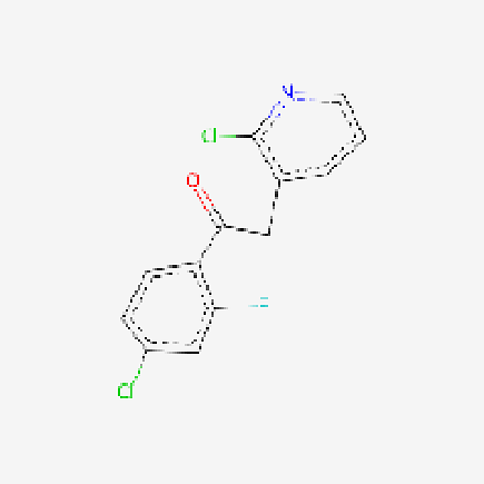 O=C(Cc1cccnc1Cl)c1ccc(Cl)cc1F